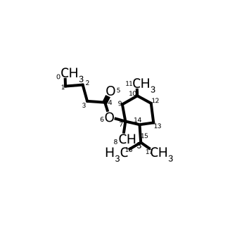 CCCCC(=O)OC1(C)CC(C)CCC1C(C)C